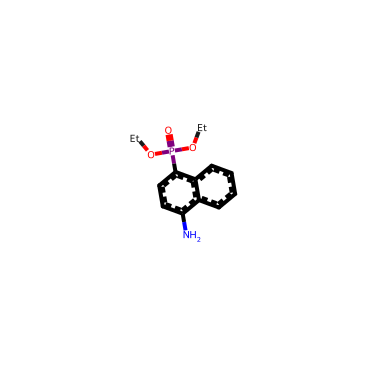 CCOP(=O)(OCC)c1ccc(N)c2ccccc12